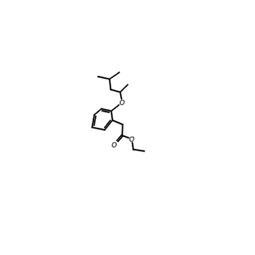 CCOC(=O)Cc1ccccc1OC(C)CC(C)C